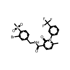 Cc1ccc(C(=O)NCc2ccc(S(C)(=O)=O)c(Br)c2)c(=O)n1-c1cccc(C(F)(F)F)c1